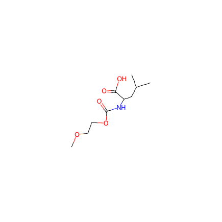 COCCOC(=O)NC(CC(C)C)C(=O)O